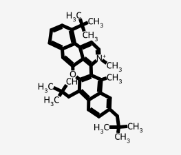 Cc1c2c(c(CC(C)(C)C)c3ccc(CC(C)(C)C)cc13)Oc1cc3cccc(C(C)(C)C)c3c3cc[n+](C)c-2c13